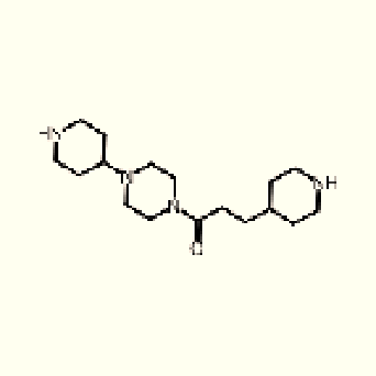 O=C(CCC1CCNCC1)N1CCN(C2CCNCC2)CC1